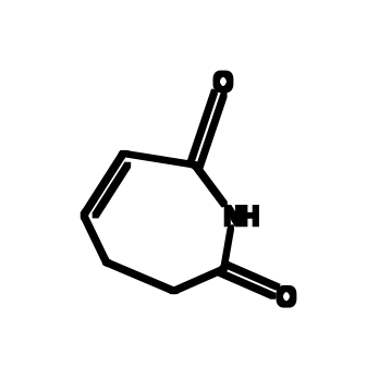 O=C1C=CCCC(=O)N1